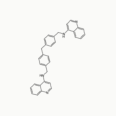 c1ccc2c(NCc3ccc(Cc4ccc(CNc5ccnc6ccccc56)cc4)cc3)ccnc2c1